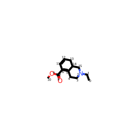 CCN1CCC2=C(C(=O)OC)C=CCC2C1